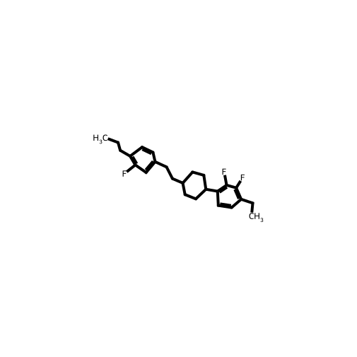 CCCc1ccc(CCC2CCC(c3ccc(CC)c(F)c3F)CC2)cc1F